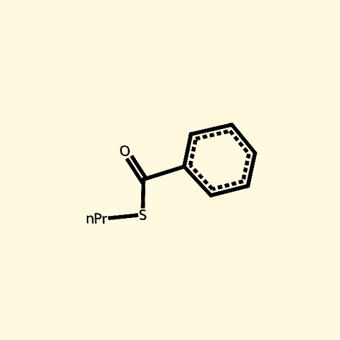 C[CH]CSC(=O)c1ccccc1